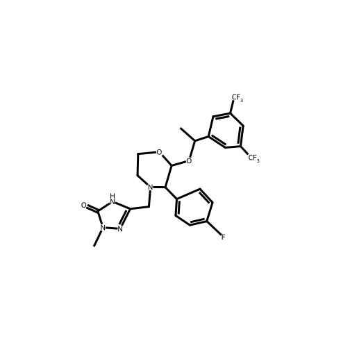 CC(OC1OCCN(Cc2nn(C)c(=O)[nH]2)C1c1ccc(F)cc1)c1cc(C(F)(F)F)cc(C(F)(F)F)c1